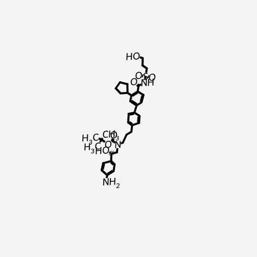 CC(C)(C)OC(=O)N(CCCc1ccc(-c2ccc(C(=O)NS(=O)(=O)CCCO)c(C3CCCC3)c2)cc1)C[C@H](O)c1ccc(N)cc1